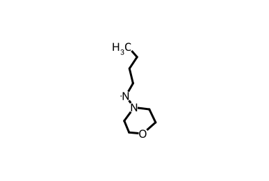 CCCC[N]N1CCOCC1